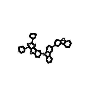 c1ccc(-c2nc(-c3ccccc3)c3oc4ccc(-n5c6ccccc6c6cc(-c7ccc8oc9ccccc9c8c7)ccc65)cc4c3n2)cc1